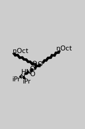 CCCCCCCC/C=C\CCCCCCCCOCC(COC(=O)NCCN(CC(C)C)CC(C)C)OCCCCCCCC/C=C\CCCCCCCC